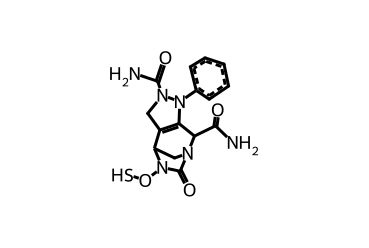 NC(=O)C1C2=C(CN(C(N)=O)N2c2ccccc2)C2CN1C(=O)N2OS